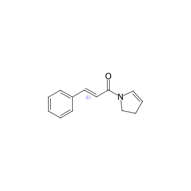 O=C(/C=C/c1ccccc1)N1C=CCC1